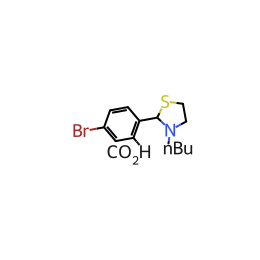 CCCCN1CCSC1c1ccc(Br)cc1C(=O)O